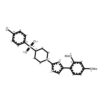 COc1ccc(-c2csc(N3CCC(S(=O)(=O)c4ccc(Cl)cc4)CC3)n2)c(OC)c1